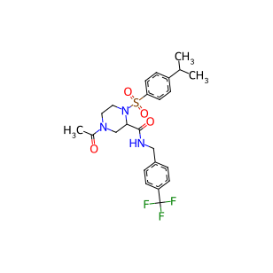 CC(=O)N1CCN(S(=O)(=O)c2ccc(C(C)C)cc2)C(C(=O)NCc2ccc(C(F)(F)F)cc2)C1